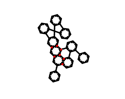 c1ccc(-c2ccc(N(c3ccc4c(c3)C3(c5ccccc5-c5ccccc53)c3ccccc3-4)c3cccc(-c4ccccc4)c3-c3ccccc3-c3ccccc3)cc2)cc1